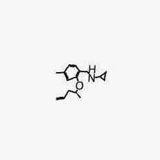 C=CC[C@H](C)Oc1cc(C)ccc1CNC1CC1